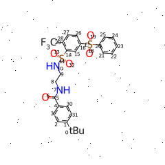 CC(C)(C)c1ccc(C(=O)NCCNS(=O)(=O)c2cc(S(=O)(=O)c3ccccc3)ccc2C(F)(F)F)cc1